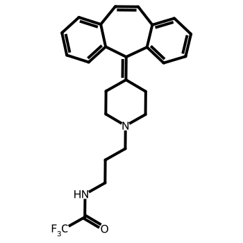 O=C(NCCCN1CCC(=C2c3ccccc3C=Cc3ccccc32)CC1)C(F)(F)F